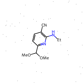 CCNc1nc(C(OC)OC)ccc1C#N